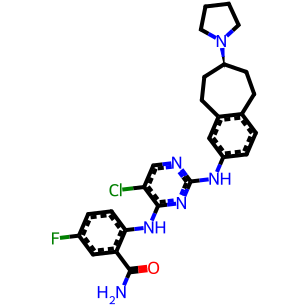 NC(=O)c1cc(F)ccc1Nc1nc(Nc2ccc3c(c2)CC[C@@H](N2CCCC2)CC3)ncc1Cl